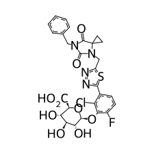 O=C(O)[C@H]1O[C@@H](Oc2c(F)ccc(-c3nnc(CN4C(=O)N(Cc5ccccc5)C(=O)C45CC5)s3)c2Cl)[C@H](O)[C@@H](O)[C@@H]1O